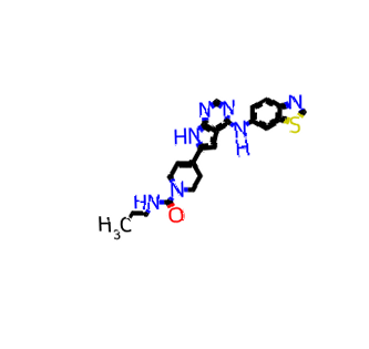 CCCNC(=O)N1CC=C(c2cc3c(Nc4ccc5ncsc5c4)ncnc3[nH]2)CC1